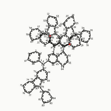 c1ccc(N(c2cc(N(c3ccccc3)c3ccc4c(c3)c3ccccc3n4-c3ccccc3)c3c(N(c4ccccc4)c4ccc5c(c4)c4ccccc4n5-c4ccccc4)ccnc3c2)c2ccc3c(c2)c2ccccc2n3-c2ccccc2)cc1